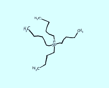 CCC[CH2][SbH]([CH2]CCC)([CH2]CCC)[CH2]CCC